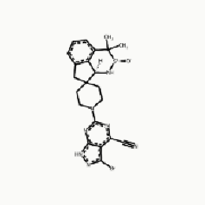 CC1(C)c2cccc3c2[C@@H](N[S@+]1[O-])C1(CCN(c2nc(C#N)c4c(Br)n[nH]c4n2)CC1)C3